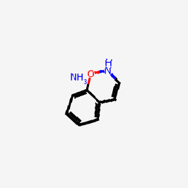 C1=Cc2ccccc2ON1.N